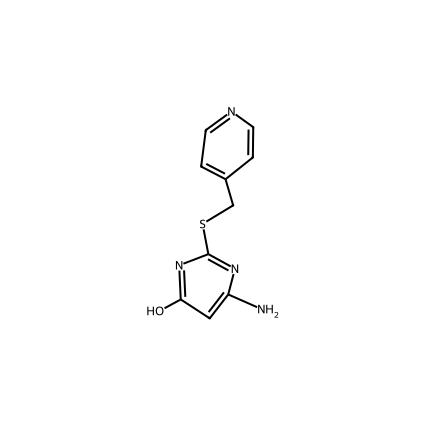 Nc1cc(O)nc(SCc2ccncc2)n1